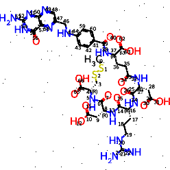 CSSC[C@H](NC(=O)[C@@H](CC(=O)O)NC(=O)[C@@H](CCCNC(=N)N)NC(=O)[C@@H](CC(=O)O)NC(=O)CC[C@@H](NC(=O)c1ccc(NCc2cnc3nc(N)[nH]c(=O)c3n2)cc1)C(=O)O)C(=O)O